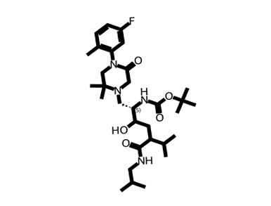 Cc1ccc(F)cc1N1CC(C)(C)N(C[C@H](NC(=O)OC(C)(C)C)C(O)CC(C(=O)NCC(C)C)C(C)C)CC1=O